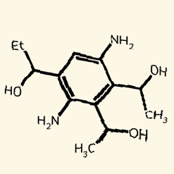 CCC(O)c1cc(N)c(C(C)O)c(C(C)O)c1N